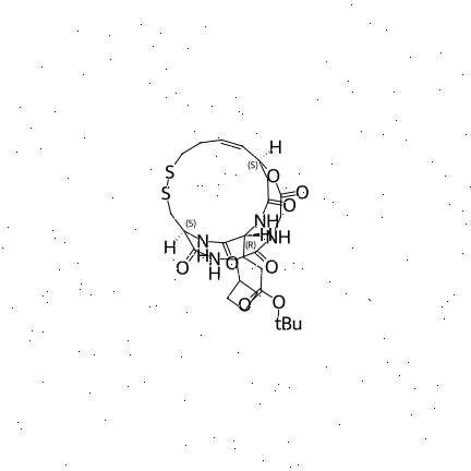 CC(C)(C)OC(=O)CC[C@H]1NC(=O)C[C@H]2C=CCCSSC[C@@H](NC1=O)C(=O)NC(C1CCC1)C(=O)NCC(=O)O2